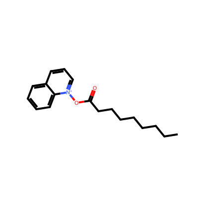 CCCCCCCCC(=O)O[n+]1cccc2ccccc21